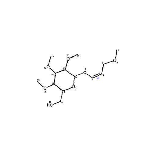 COC/C=C\OC1OC(CO)C(OC)C(OC)C1OC